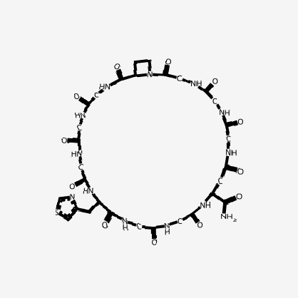 NC(=O)C1CC(=O)NCC(=O)NCC(=O)NCC(=O)N2CCC2C(=O)NCC(=O)NCC(=O)NCC(=O)NC(Cc2cscn2)C(=O)NCC(=O)NCC(=O)N1